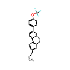 CCCc1ccc2c(c1)CCc1cc(-c3ccc(OC(F)(F)F)cc3)ccc1-2